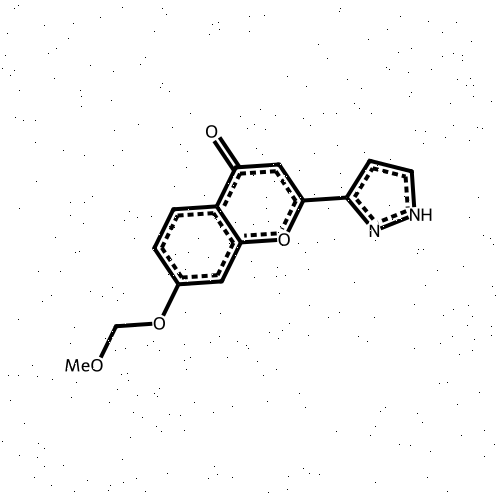 COCOc1ccc2c(=O)cc(-c3cc[nH]n3)oc2c1